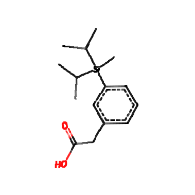 CC(C)[Si](C)(c1cccc(CC(=O)O)c1)C(C)C